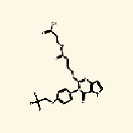 O=C(O)CCNC(=O)CCCSc1nc2cc[nH]c2c(=O)n1-c1ccc(OCC(F)(F)F)cc1